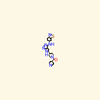 O=C(c1ccncc1)N1CC=C(c2cc3c(Nc4ccc5ncsc5c4)ncnc3[nH]2)CC1